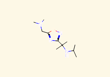 CC(C)NC(C)(C)c1noc(CN(C)C)n1